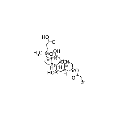 C[C@H](CCC(=O)O)[C@H]1CC[C@H]2[C@@H]3[C@H](O)C[C@@H]4C[C@H](OC(=O)CBr)CC[C@]4(C)[C@H]3C[C@H](O)[C@]12C